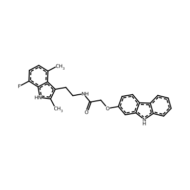 Cc1[nH]c2c(F)ccc(C)c2c1CCNC(=O)COc1ccc2c(c1)[nH]c1ccccc12